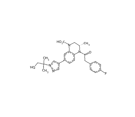 C[C@H]1CN(C(=O)O)c2cc(-c3cnn(C(C)(C)CO)c3)ccc2N1C(=O)Cc1ccc(F)cc1